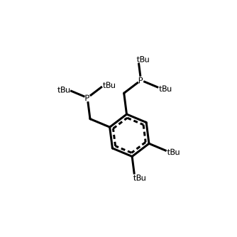 CC(C)(C)c1cc(CP(C(C)(C)C)C(C)(C)C)c(CP(C(C)(C)C)C(C)(C)C)cc1C(C)(C)C